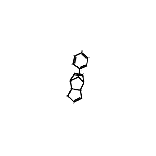 C1=CC2C3C=CC(C2C1)C3c1ccccc1